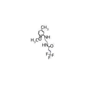 CO[n+]1ccc(C)cc1NCCNC(=O)/C=C/C(F)(F)F